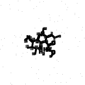 CC/C=C1\C(C(=O)NOC)=CC(/C(=N/C)C(C)C(C)N)=CN1C